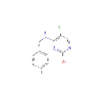 Cc1ccc(CN(C)c2nc(O)ncc2F)cc1